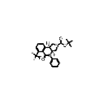 CC(C)(C)OC(=O)N1C[C@@H]2c3cccc(C(F)(F)F)c3C(=O)N(c3ccccc3)[C@@H]2C1